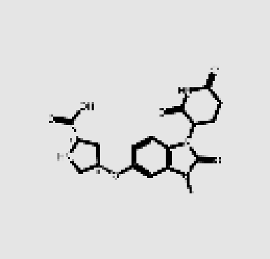 Cn1c(=O)n(C2CCC(=O)NC2=O)c2ccc(O[C@H]3CN[C@H](C(=O)O)C3)cc21